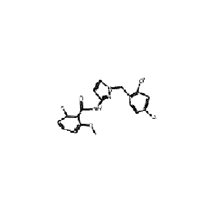 COc1cccc(F)c1C(=O)Nc1ccn(Cc2ccc(Cl)cc2Cl)n1